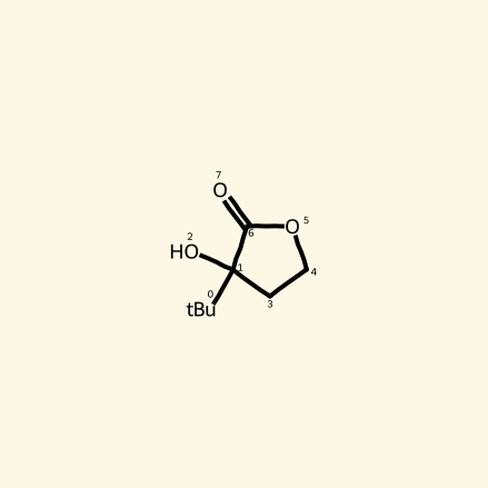 CC(C)(C)C1(O)CCOC1=O